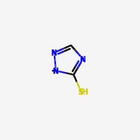 SC1=NC=N[N]1